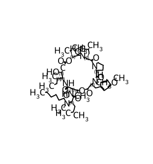 CCCCCC(=O)N(C)[C@H](CC(C)C)C(=O)N[C@@H]1C(=O)N[C@H]([C@@H](C)CC)[C@@H](O)CC(=O)O[C@@H](C(C)C)C(=O)N[C@@H](CC(C)C)C(=O)N2CCC[C@H]2C(=O)N(C)[C@@H](Cc2ccc(OC)cc2)C(=O)O[C@@H]1C